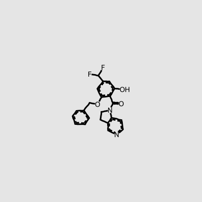 O=C(c1c(O)cc(C(F)F)cc1OCc1ccccc1)N1CCc2cnccc21